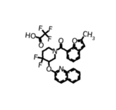 Cc1cc2cccc(C(=O)N3CCC(F)(F)C(Oc4ccc5ccccc5n4)C3)c2o1.O=C(O)C(F)(F)F